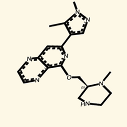 Cc1c(-c2cc3nccnc3c(OC[C@@H]3CNCCN3C)n2)cnn1C